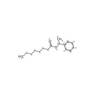 CCCCCC[CH]C(=O)OC(C)c1ccccc1